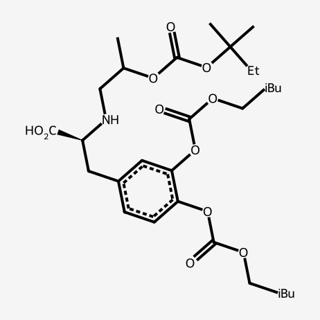 CCC(C)COC(=O)Oc1ccc(C[C@H](NCC(C)OC(=O)OC(C)(C)CC)C(=O)O)cc1OC(=O)OCC(C)CC